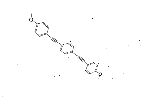 COc1ccc(C#Cc2ccc(C#Cc3ccc(OC)cc3)cc2)cc1